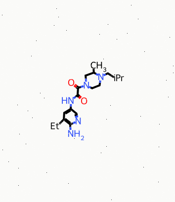 CCc1cc(NC(=O)C(=O)N2CCN(CC(C)C)C(C)C2)cnc1N